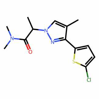 Cc1cn(C(C)C(=O)N(C)C)nc1-c1ccc(Cl)s1